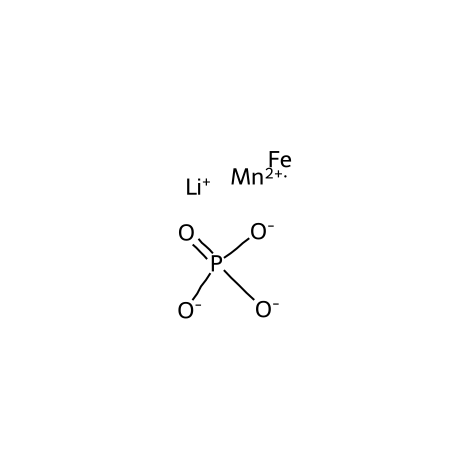 O=P([O-])([O-])[O-].[Fe].[Li+].[Mn+2]